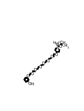 CC(C)(C)OC(=O)N1CCC(OCCOCCOCCOCCOCCOCCOCCOc2cccc(O)c2)CC1